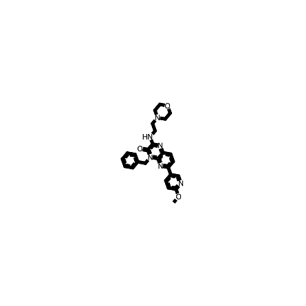 COc1ccc(-c2ccc3nc(NCCN4CCOCC4)c(=O)n(Cc4ccccc4)c3n2)cn1